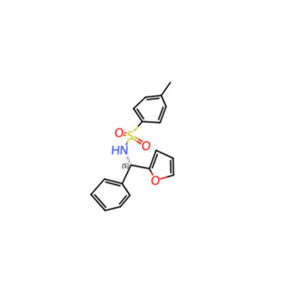 Cc1ccc(S(=O)(=O)N[C@@H](c2ccccc2)c2ccco2)cc1